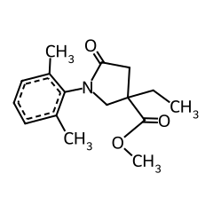 CCC1(C(=O)OC)CC(=O)N(c2c(C)cccc2C)C1